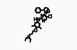 CCN(CC)CCCOc1c(C)cc(Nc2ncc(Cl)c(N3OCCC3c3ccccc3)n2)cc1C